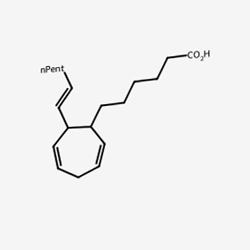 CCCCCC=CC1C=CCC=CC1CCCCCC(=O)O